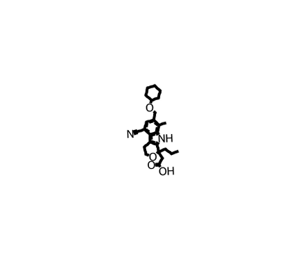 CCCC1(CC(=O)O)OCCc2c1[nH]c1c(C)c(COC3CCCCC3)cc(C#N)c21